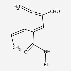 C=C=C(C=O)/C=C(\C=C/C)C(=O)NCC